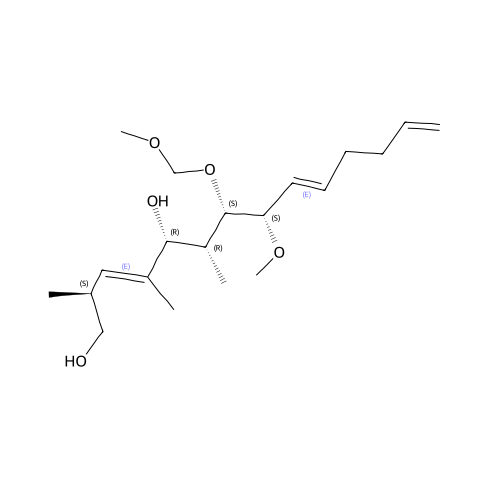 C=CCC/C=C/[C@H](OC)[C@@H](OCOC)[C@H](C)[C@@H](O)/C(C)=C/[C@H](C)CO